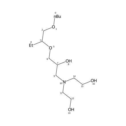 CCCCOCC(CC)OCC(O)CN(CCO)CCO